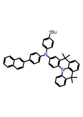 CC(C)(C)c1ccc(N(c2ccc(-c3ccc4ccccc4c3)cc2)c2ccc3c(c2)C(C)(C)c2cccc4c2N3c2ccccc2C4(C)C)cc1